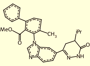 COC(=O)c1c(-c2ccccc2)ccc(C)c1-n1cnc2ccc(C3=NNC(=O)C(C(C)C)C3)cc21